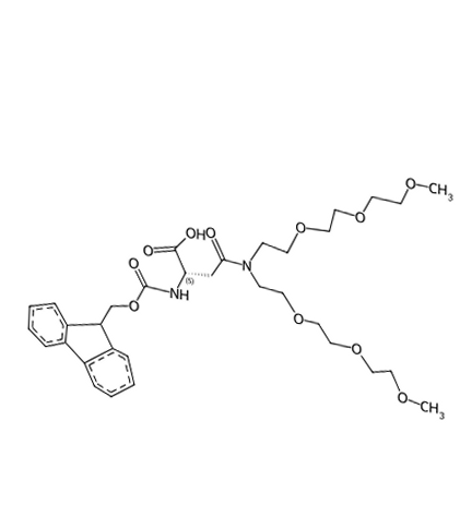 COCCOCCOCCN(CCOCCOCCOC)C(=O)C[C@H](NC(=O)OCC1c2ccccc2-c2ccccc21)C(=O)O